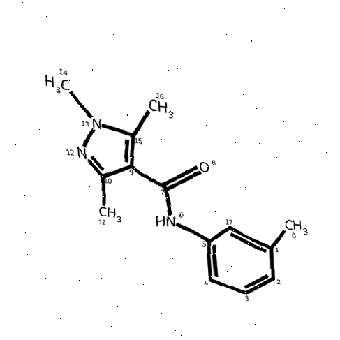 Cc1cccc(NC(=O)c2c(C)nn(C)c2C)c1